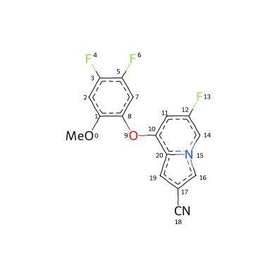 COc1cc(F)c(F)cc1Oc1cc(F)cn2cc(C#N)cc12